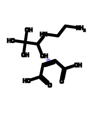 NCCNC(O)C(O)(O)O.O=C(O)/C=C\C(=O)O